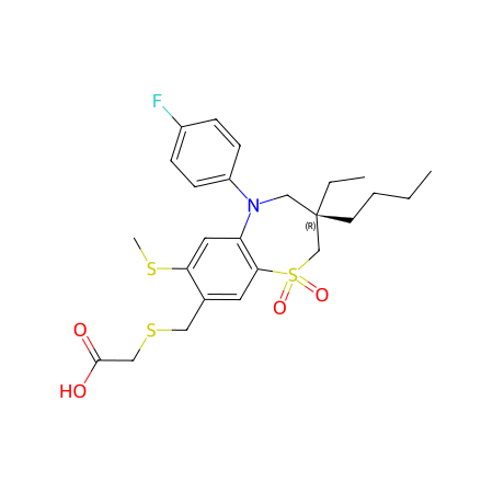 CCCC[C@]1(CC)CN(c2ccc(F)cc2)c2cc(SC)c(CSCC(=O)O)cc2S(=O)(=O)C1